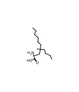 CCCCCCC(C)(CCCC)C[C@H](N)C(=O)O